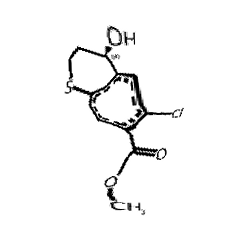 COC(=O)c1cc2c(cc1Cl)[C@H](O)CCS2